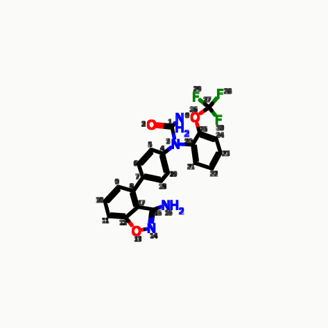 NC(=O)N(c1ccc(-c2cccc3onc(N)c23)cc1)c1ccccc1OC(F)(F)F